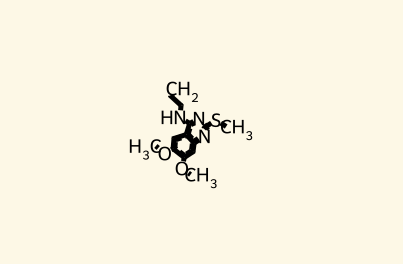 C=CCNc1nc(SC)nc2cc(OC)c(OC)cc12